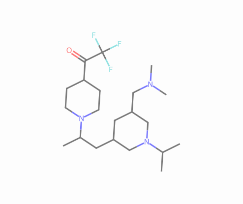 CC(C)N1CC(CC(C)N2CCC(C(=O)C(F)(F)F)CC2)CC(CN(C)C)C1